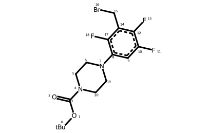 CC(C)(C)OC(=O)N1CCN(c2cc(F)c(F)c(CBr)c2F)CC1